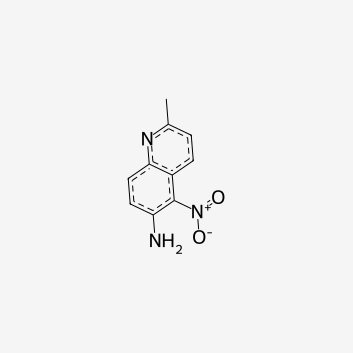 Cc1ccc2c([N+](=O)[O-])c(N)ccc2n1